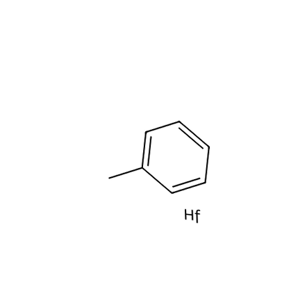 Cc1ccccc1.[Hf]